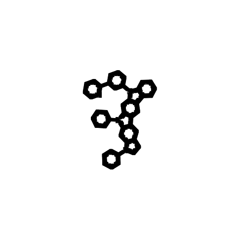 c1ccc(-n2ccc3cc4c5cc6c7ccccc7n(-c7cccc(-c8ccccn8)c7)c6cc5n(-c5ccccc5)c4cc32)cc1